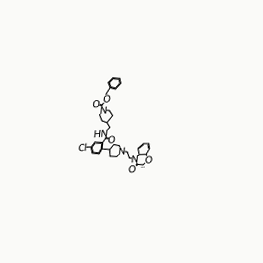 O=C(NCC1CCN(C(=O)OCc2ccccc2)CC1)c1cc(Cl)ccc1C1CCN(CCN2C(=O)[C]OC3C=CC=CC32)CC1